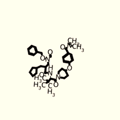 CN(C)C(=O)c1ccc(OC2CCN(C(=O)[C@@H](NC(=O)C(CC3CCCC3)CN(C=O)OCc3ccccc3)C(C)(C)C)CC2)cc1